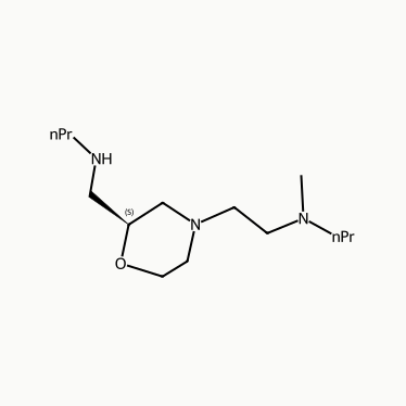 CCCNC[C@H]1CN(CCN(C)CCC)CCO1